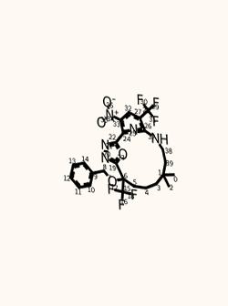 CC1(C)CCCC(OCc2ccccc2)(C(F)(F)F)c2nnc(o2)-c2nc(c(C(F)(F)F)cc2[N+](=O)[O-])NCC1